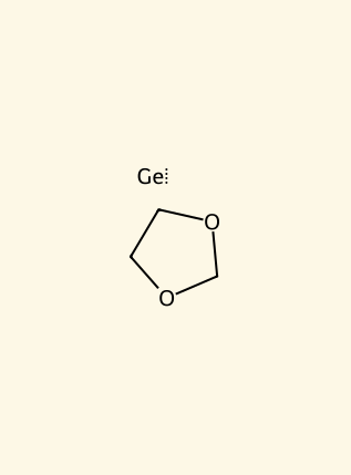 C1COCO1.[Ge]